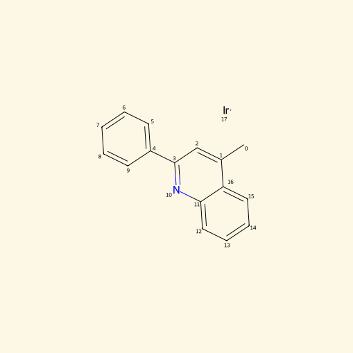 Cc1cc(-c2ccccc2)nc2ccccc12.[Ir]